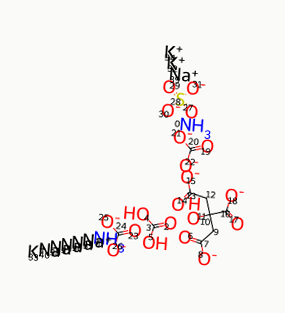 N.N.O=C(O)O.O=C([O-])CC(O)(CC(=O)[O-])C(=O)[O-].O=C([O-])[O-].O=C([O-])[O-].O=S(=O)([O-])[O-].[K+].[K+].[K+].[Na+].[Na+].[Na+].[Na+].[Na+].[Na+]